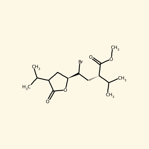 COC(=O)[C@@H](CC(Br)[C@@H]1CC(C(C)C)C(=O)O1)C(C)C